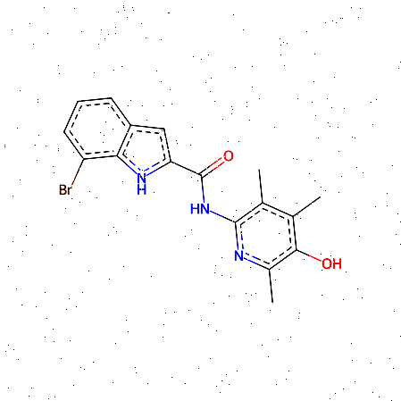 Cc1nc(NC(=O)c2cc3cccc(Br)c3[nH]2)c(C)c(C)c1O